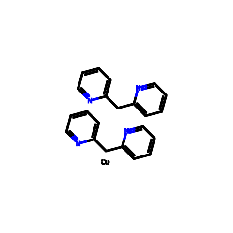 [Cu].c1ccc(Cc2ccccn2)nc1.c1ccc(Cc2ccccn2)nc1